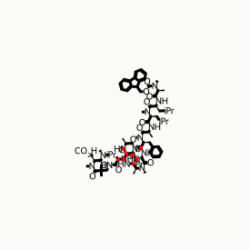 CC(C)C[C@H](NC(=O)[C@H](C)N(C)C(=O)CNC(=O)[C@H](Cc1ccccc1)N(C)C(=O)[C@H](C)NC(=O)[C@H](CC(C)C)N(C)C(=O)[C@H](CC(C)C)NC(=O)[C@H](C)N(C)C(=O)OCC1c2ccccc2-c2ccccc21)C(=O)N[C@@H](C)C(=O)N(C)[C@@H](CC(C)C)C(=O)NCC(=O)NCC(C)(C)C(=O)N(C)[C@@H](CC(=O)O)C(=O)N(C)C